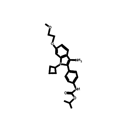 COCCOc1ccc2c(N)c(-c3ccc(NC(=O)OC(C)C)cc3)n(C3CCC3)c2c1